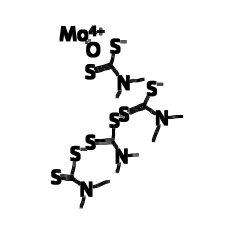 CN(C)C(=S)[S-].CN(C)C(=S)[S-].CN(C)C(=S)[S-].CN(C)C(=S)[S-].[O]=[Mo+4]